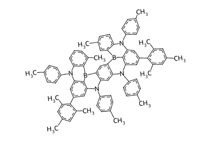 Cc1ccc(N2c3ccc(C)cc3B3c4cc5c(cc4N(c4ccc(C)cc4)c4cc(-c6c(C)cc(C)cc6C)cc2c43)N(c2ccc(C)cc2)c2cc(-c3c(C)cc(C)cc3C)cc3c2B5c2c(C)cccc2N3c2ccc(C)cc2)cc1